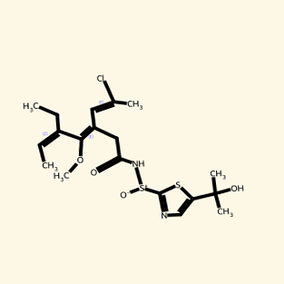 C\C=C(CC)/C(OC)=C(\C=C(/C)Cl)CC(=O)N[S+]([O-])c1ncc(C(C)(C)O)s1